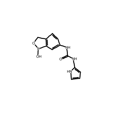 O=C(Nc1ccc2c(c1)B(O)OC2)Nc1ccc[nH]1